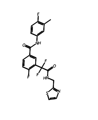 Cc1cc(NC(=O)c2ccc(F)c(C(F)(F)C(=O)NCc3nccs3)c2)ccc1F